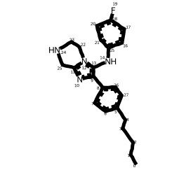 CCCCCc1ccc(-c2nc3n(c2Nc2ccc(F)cc2)CCNC3)cc1